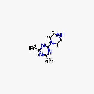 CC(C)c1nc(C(C)C)nc(N2CCNCC2)n1